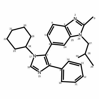 Cc1nc2ccc(-c3c(-c4ccccc4)ncn3C3CCCCC3)cc2n1CC(C)C